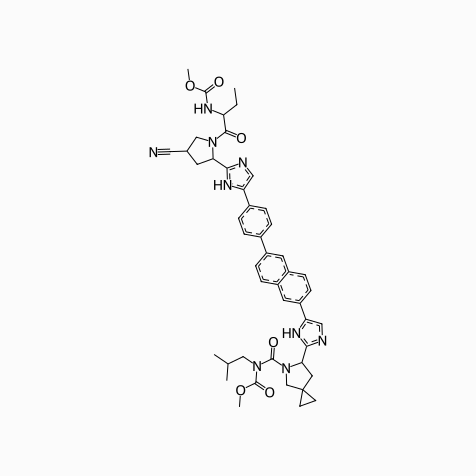 CCC(NC(=O)OC)C(=O)N1CC(C#N)CC1c1ncc(-c2ccc(-c3ccc4cc(-c5cnc(C6CC7(CC7)CN6C(=O)N(CC(C)C)C(=O)OC)[nH]5)ccc4c3)cc2)[nH]1